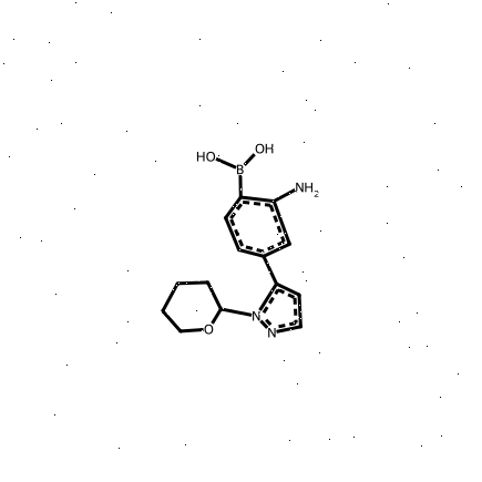 Nc1cc(-c2ccnn2C2CCCCO2)ccc1B(O)O